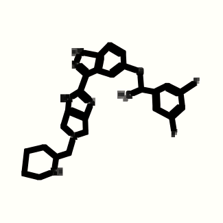 CC(Oc1ccc2[nH]nc(-c3nc4c([nH]3)CN(CC3CCCCN3)C4)c2c1)c1cc(F)cc(F)c1